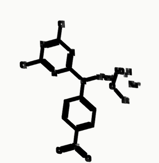 CCCCCN(c1ccc([S-](=O)=O)cc1)c1nc(Cl)nc(Cl)n1.CCOS(=O)(=O)O.[Na+]